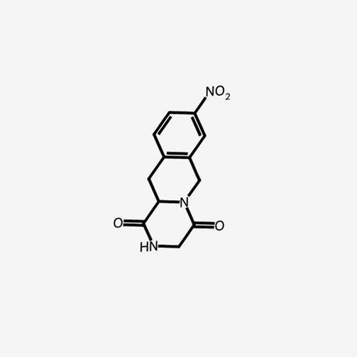 O=C1NCC(=O)N2Cc3cc([N+](=O)[O-])ccc3CC12